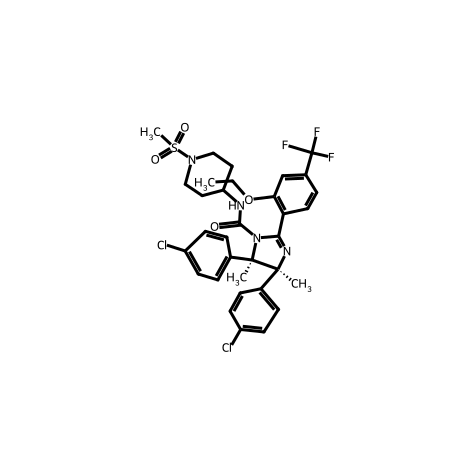 CCOc1cc(C(F)(F)F)ccc1C1=N[C@@](C)(c2ccc(Cl)cc2)[C@@](C)(c2ccc(Cl)cc2)N1C(=O)NC1CCN(S(C)(=O)=O)CC1